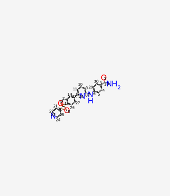 NC(=O)c1ccc(Nc2cccc(-c3ccc(S(=O)(=O)c4ccncc4)cc3)n2)cc1